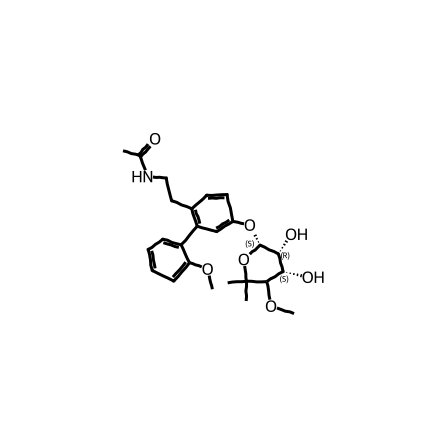 COc1ccccc1-c1cc(O[C@H]2OC(C)(C)C(OC)[C@@H](O)[C@H]2O)ccc1CCNC(C)=O